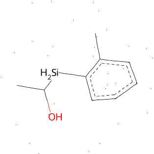 Cc1ccccc1[SiH2]C(C)O